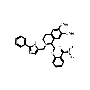 CCN(CC)C(=O)c1ccccc1OCC1c2cc(OC)c(OC)cc2CCN1Cc1cnc(-c2ccccc2)[nH]1